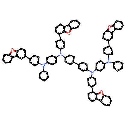 c1ccc(N(c2ccc(-c3ccc4oc5ccccc5c4c3)cc2)c2ccc(N(c3ccc(-c4ccc(N(c5ccc(-c6cccc7c6oc6ccccc67)cc5)c5ccc(N(c6ccccc6)c6ccc(-c7ccc8oc9ccccc9c8c7)cc6)cc5)cc4)cc3)c3ccc(-c4cccc5c4oc4ccccc45)cc3)cc2)cc1